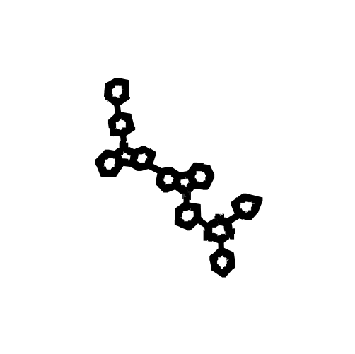 c1ccc(-c2ccc(-n3c4ccccc4c4cc(-c5ccc6c(c5)c5ccccc5n6-c5cccc(-c6nc(-c7ccccc7)nc(-c7ccccc7)n6)c5)ccc43)cc2)cc1